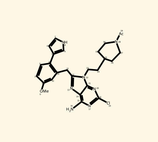 COc1ccc(-c2cc[nH]c2)c(Cc2nc3c(N)nc(Cl)nc3n2CCC2CCN(C(C)=O)CC2)c1